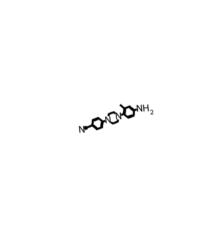 Cc1cc(N)ccc1N1CCN(c2ccc(C#N)cc2)CC1